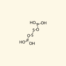 OP(O)OSSOP(O)O